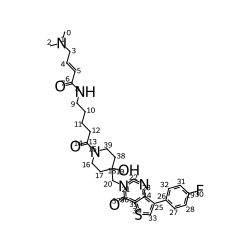 CN(C)CC=CC(=O)NCCCCC(=O)N1CCC(O)(Cn2cnc3c(-c4ccc(F)cc4)csc3c2=O)CC1